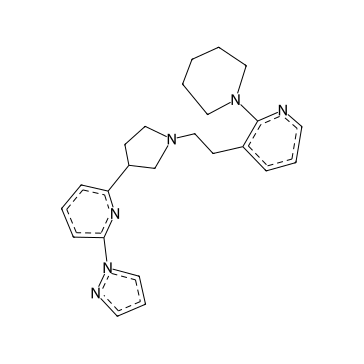 c1cc(C2CCN(CCc3cccnc3N3CCCCC3)C2)nc(-n2cccn2)c1